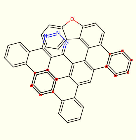 c1ccc(-c2ccccc2-c2cc(-c3ccccc3)c(-c3c(-c4ccccc4)ccc4oc5ccccc5c34)c(-c3nnnc(-c4ccccc4-c4ccccc4)c3-c3ccccc3)c2-c2ccccc2)cc1